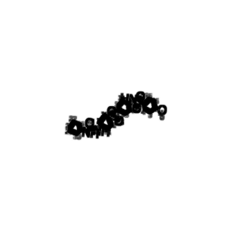 COc1ccc(S(=O)(=O)Nc2ccc(S(=O)(=O)c3ccc(NC(=O)Nc4ccccc4)cc3)cc2)cc1